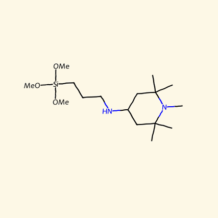 CO[Si](CCCNC1CC(C)(C)N(C)C(C)(C)C1)(OC)OC